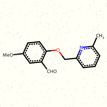 COc1ccc(OCc2cccc(C)n2)c(C=O)c1